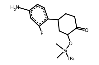 CC(C)(C)[Si](C)(C)OC1CC(c2ccc(N)cc2F)CCC1=O